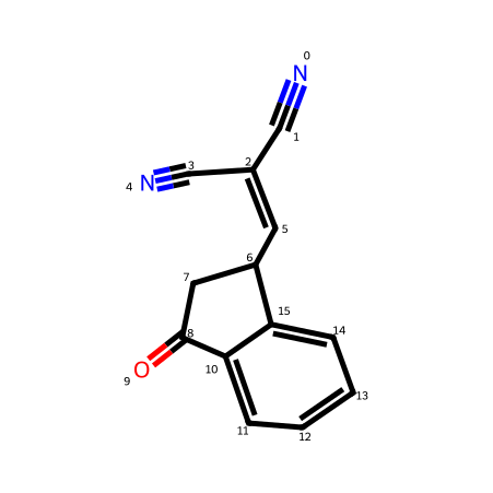 N#CC(C#N)=CC1CC(=O)c2ccccc21